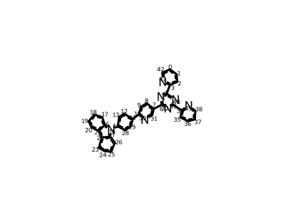 c1ccc(-c2nc(-c3ccc(-c4ccc(-n5c6ccccc6c6ccccc65)cc4)nc3)nc(-c3ccccn3)n2)nc1